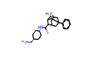 CC12CC3CC(c4ccccc4)(CC(C1)C3C(=S)N[C@H]1CC[C@H](CN)CC1)C2